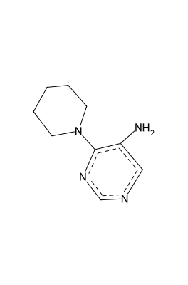 Nc1cncnc1N1C[CH]CCC1